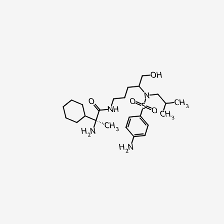 CC(C)CN(C(CO)CCCNC(=O)[C@@](C)(N)C1CCCCC1)S(=O)(=O)c1ccc(N)cc1